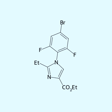 CCOC(=O)c1cn(-c2c(F)cc(Br)cc2F)c(CC)n1